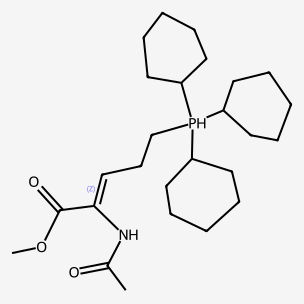 COC(=O)/C(=C/CC[PH](C1CCCCC1)(C1CCCCC1)C1CCCCC1)NC(C)=O